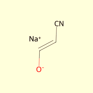 N#CC=C[O-].[Na+]